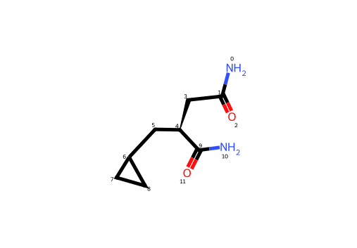 NC(=O)C[C@H](CC1CC1)C(N)=O